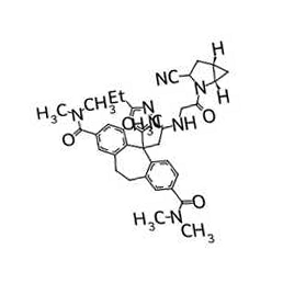 CCc1nnc(C2(C[C@H](C)NCC(=O)N3C(C#N)C[C@@H]4C[C@@H]43)c3ccc(C(=O)N(C)C)cc3CCc3cc(C(=O)N(C)C)ccc32)o1